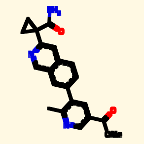 COC(=O)c1cnc(C)c(-c2ccc3cc(C4(C(N)=O)CC4)ncc3c2)c1